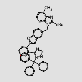 CCCCc1nc2c(C)ccnc2n1Cc1ccc2oc(-c3ccccc3-c3nnnn3C(c3ccccc3)(c3ccccc3)c3ccccc3)cc2c1